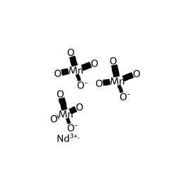 [Nd+3].[O]=[Mn](=[O])(=[O])[O-].[O]=[Mn](=[O])(=[O])[O-].[O]=[Mn](=[O])(=[O])[O-]